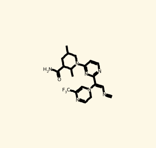 C=N/C=C(/c1nccc(N2CC(C)CC(C(N)=O)C2C)n1)N1C=C(C(F)(F)F)N=CC1